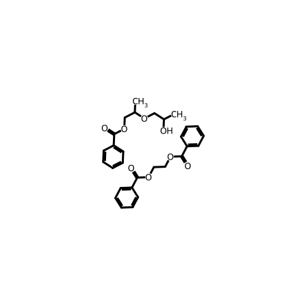 CC(O)COC(C)COC(=O)c1ccccc1.O=C(OCCOC(=O)c1ccccc1)c1ccccc1